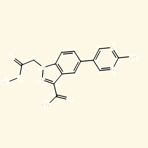 Cc1ncc(-c2ccc3c(c2)c(C(N)=O)nn3CC(=O)OC(C)(C)C)cn1